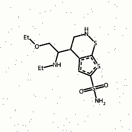 CCNC(COCC)C1CNSc2sc(S(N)(=O)=O)cc21